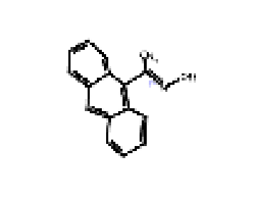 C/C(=N\O)c1c2ccccc2cc2ccccc12